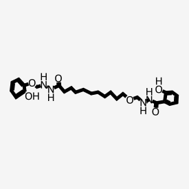 O=C(CCCCCCCCCCOCNNC(=O)c1ccccc1O)NNCOc1ccccc1O